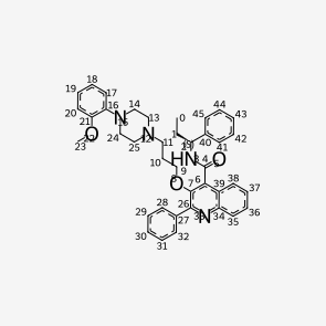 CC[C@H](NC(=O)c1c(OCCCN2CCN(c3ccccc3OC)CC2)c(-c2ccccc2)nc2ccccc12)c1ccccc1